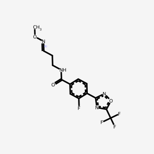 CO/N=C/CCNC(=O)c1ccc(-c2noc(C(F)(F)F)n2)c(F)c1